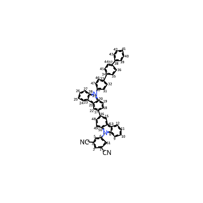 N#Cc1cc(C#N)cc(-n2c3ccccc3c3cc(-c4ccc5c(c4)c4ccccc4n5-c4ccc(-c5ccc(-c6ccccc6)cc5)cc4)ccc32)c1